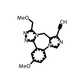 C#Cc1ncn2c1Cn1c(COC)nnc1-c1cc(OC)ccc1-2